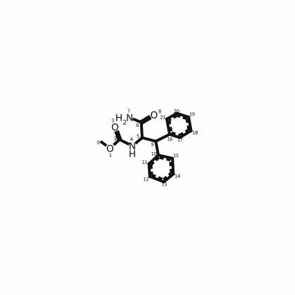 COC(=O)NC(C(N)=O)C(c1ccccc1)c1ccccc1